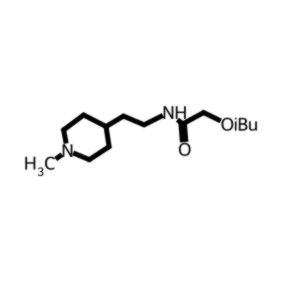 CC(C)COCC(=O)NCCC1CCN(C)CC1